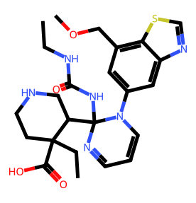 CCNC(=O)NC1(C2CNCCC2(CC)C(=O)O)N=CC=CN1c1cc(COC)c2scnc2c1